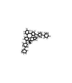 c1cncc(-c2ncc(-c3ccc4c(c3)C3(c5cc(-c6cnc(-c7cccnc7)nc6)ccc5-c5ccccc5-4)c4ccccc4-c4ccccc43)cn2)c1